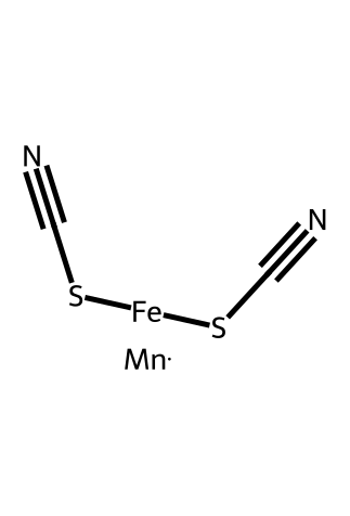 N#C[S][Fe][S]C#N.[Mn]